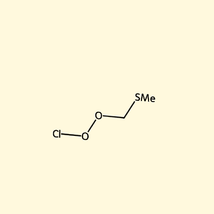 CSCOOCl